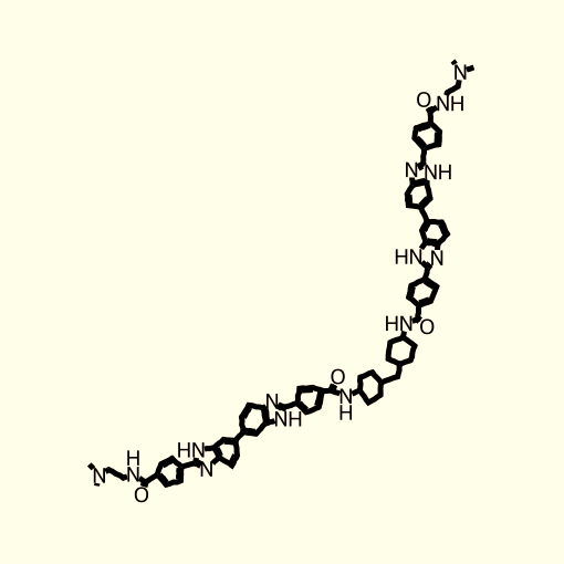 CN(C)CCNC(=O)c1ccc(-c2nc3ccc(-c4ccc5nc(-c6ccc(C(=O)NC7CCC(CC8CCC(NC(=O)c9ccc(-c%10nc%11ccc(-c%12ccc%13nc(-c%14ccc(C(=O)NCCN(C)C)cc%14)[nH]c%13c%12)cc%11[nH]%10)cc9)CC8)CC7)cc6)[nH]c5c4)cc3[nH]2)cc1